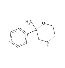 NC1(c2ccccc2)CNCCO1